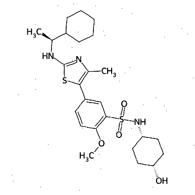 COc1ccc(-c2sc(N[C@@H](C)C3CCCCC3)nc2C)cc1S(=O)(=O)N[C@H]1CC[C@@H](O)CC1